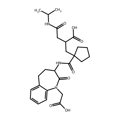 CC(C)NC(=O)CC(CC1(C(=O)NC2CCc3ccccc3N(CC(=O)O)C2=O)CCCC1)C(=O)O